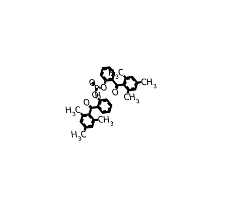 Cc1cc(C)c(C(=O)c2ccccc2O[PH](=O)Oc2ccccc2C(=O)c2c(C)cc(C)cc2C)c(C)c1